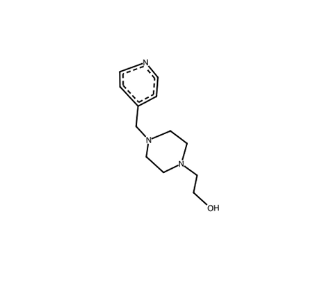 OCCN1CCN(Cc2ccncc2)CC1